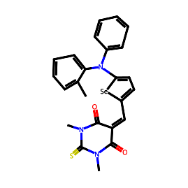 Cc1ccccc1N(c1ccccc1)c1ccc(C=C2C(=O)N(C)C(=S)N(C)C2=O)[se]1